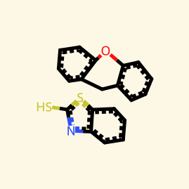 Sc1nc2ccccc2s1.c1ccc2c(c1)Cc1ccccc1O2